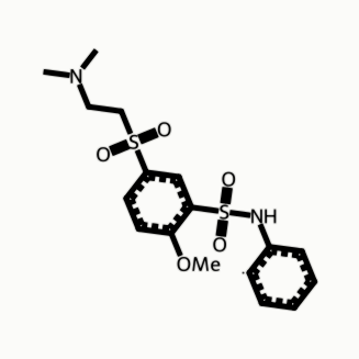 COc1ccc(S(=O)(=O)CCN(C)C)cc1S(=O)(=O)Nc1[c]cccc1